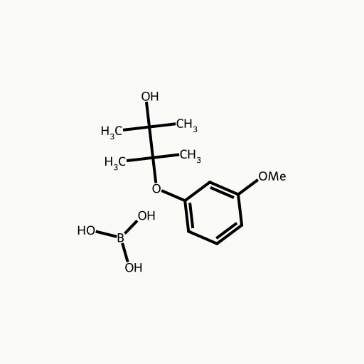 COc1cccc(OC(C)(C)C(C)(C)O)c1.OB(O)O